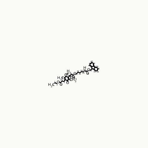 C=CCOC(=O)CCC1=C(C)C(=O)C(C(C)(C)CC(=O)OCCCCCNC(=O)OCC2c3ccccc3-c3ccccc32)=C(C)C1=O